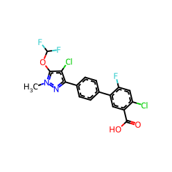 Cn1nc(-c2ccc(-c3cc(C(=O)O)c(Cl)cc3F)cc2)c(Cl)c1OC(F)F